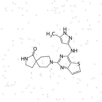 Cc1cc(Nc2nc(N3CCC4(CCNC4=O)CC3)nc3ccsc23)n[nH]1